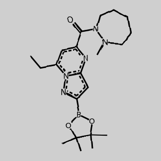 CCc1cc(C(=O)N2CCCCCN2C)nc2cc(B3OC(C)(C)C(C)(C)O3)nn12